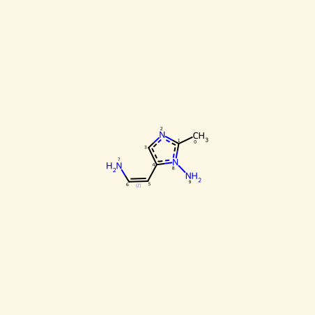 Cc1ncc(/C=C\N)n1N